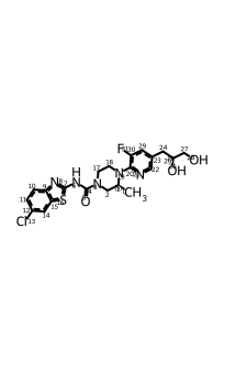 C[C@H]1CN(C(=O)Nc2nc3ccc(Cl)cc3s2)CCN1c1ncc(C[C@H](O)CO)cc1F